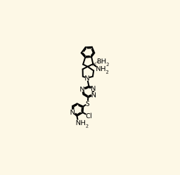 B[C@@]1(N)c2ccccc2CC12CCN(c1ncc(Sc3ccnc(N)c3Cl)nn1)CC2